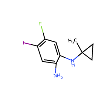 CC1(Nc2cc(F)c(I)cc2N)CC1